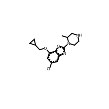 CC1CNCCN1c1nc2cc(Cl)cc(OCC3CC3)c2o1